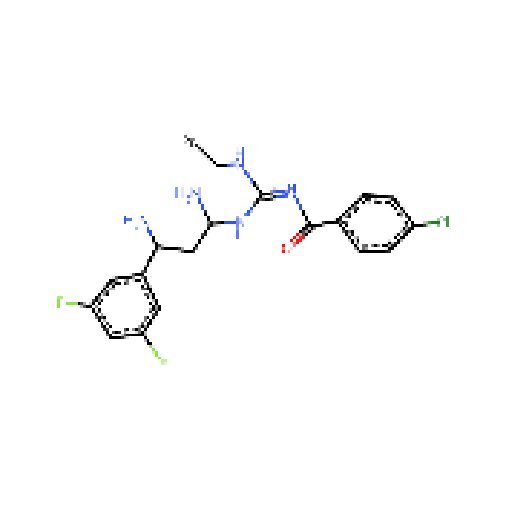 CC(C)CN/C(=N/C(=O)c1ccc(Cl)cc1)NC(N)CC(N)c1cc(F)cc(F)c1